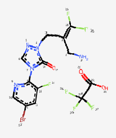 NCC(Cn1ncn(-c2ncc(Br)cc2F)c1=O)=C(F)F.O=C(O)C(F)(F)F